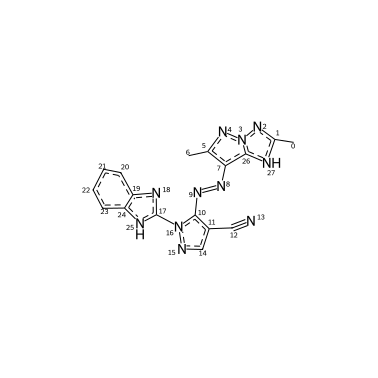 Cc1nn2nc(C)c(/N=N/c3c(C#N)cnn3-c3nc4ccccc4[nH]3)c2[nH]1